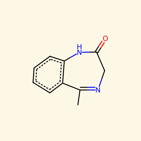 CC1=NCC(=O)Nc2ccccc21